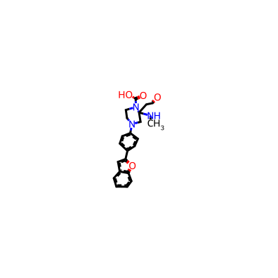 CNC1(CC=O)CN(c2ccc(-c3cc4ccccc4o3)cc2)CCN1C(=O)O